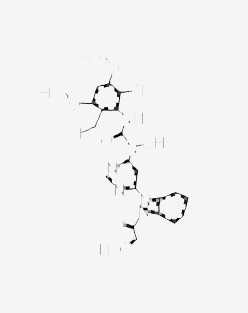 C=CC(=O)n1c2ccccc2n1-c1cc(N(C)C(=O)Nc2c(Cl)c(OC)cc(OC)c2CI)ncn1